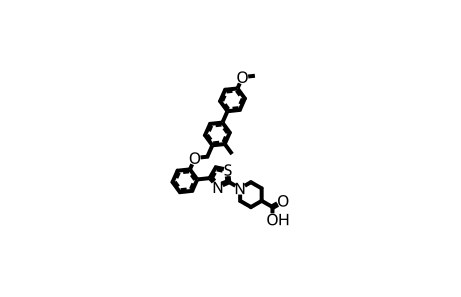 COc1ccc(-c2ccc(COc3ccccc3-c3csc(N4CCC(C(=O)O)CC4)n3)c(C)c2)cc1